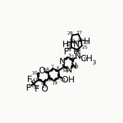 CN(c1cnc(-c2cc3occ(C(F)(F)F)c(=O)c3cc2O)nn1)[C@@H]1C[C@H]2CC[C@H](N2)[C@@H]1F